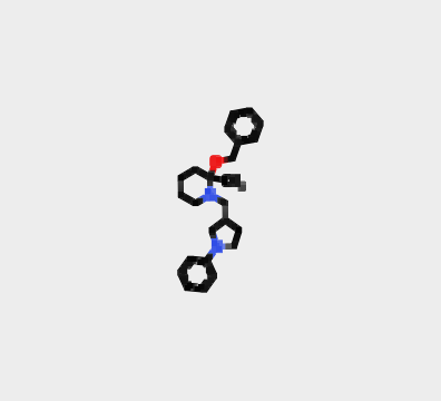 CC1(OCc2ccccc2)CCCCN1CC1CCN(c2ccccc2)C1